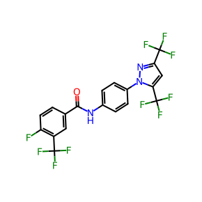 O=C(Nc1ccc(-n2nc(C(F)(F)F)cc2C(F)(F)F)cc1)c1ccc(F)c(C(F)(F)F)c1